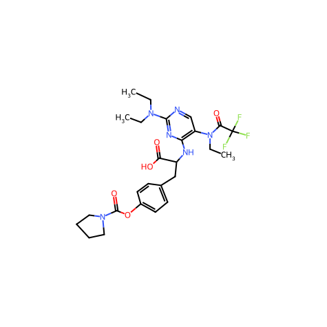 CCN(CC)c1ncc(N(CC)C(=O)C(F)(F)F)c(NC(Cc2ccc(OC(=O)N3CCCC3)cc2)C(=O)O)n1